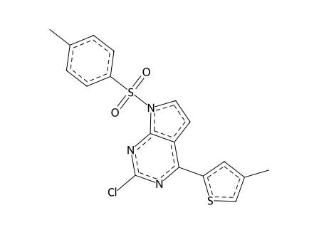 Cc1ccc(S(=O)(=O)n2ccc3c(-c4cc(C)cs4)nc(Cl)nc32)cc1